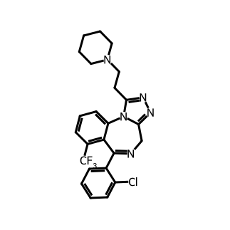 FC(F)(F)c1cccc2c1C(c1ccccc1Cl)=NCc1nnc(CCN3CCCCC3)n1-2